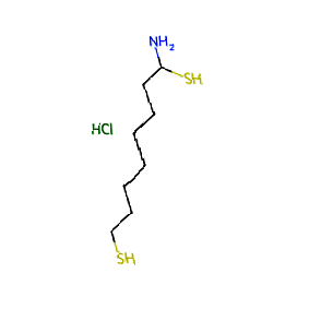 Cl.NC(S)CCCCCCCS